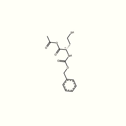 CC(=O)OC(=O)[C@H](CCS)NC(=O)OCc1ccccc1